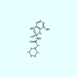 CC(C)c1cccc(C(C)C)c1OS(=O)(=O)NC(=O)CC1CCCCC1